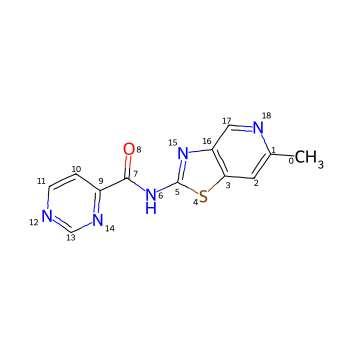 Cc1cc2sc(NC(=O)c3ccncn3)nc2cn1